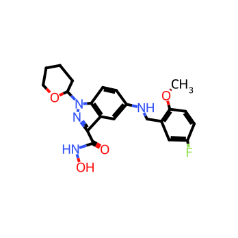 COc1ccc(F)cc1CNc1ccc2c(c1)c(C(=O)NO)nn2C1CCCCO1